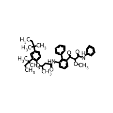 CCC(C)(C)c1ccc(OC(C)CC(=O)Nc2cccc(C(=O)C(OC)C(=O)Nc3ccccc3)c2-c2ccccc2)c(C(C)(C)CC)c1